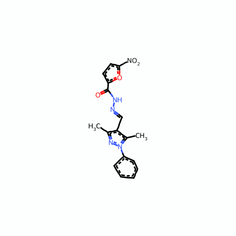 Cc1nn(-c2ccccc2)c(C)c1/C=N/NC(=O)c1ccc([N+](=O)[O-])o1